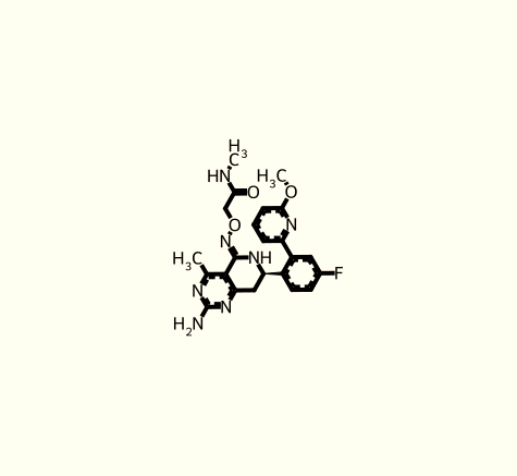 CNC(=O)CO/N=C1\N[C@@H](c2ccc(F)cc2-c2cccc(OC)n2)Cc2nc(N)nc(C)c21